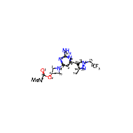 CNC(=O)OC1CN(c2cc(-c3cn(CC(F)(F)F)nc3C)nc(N)n2)C1